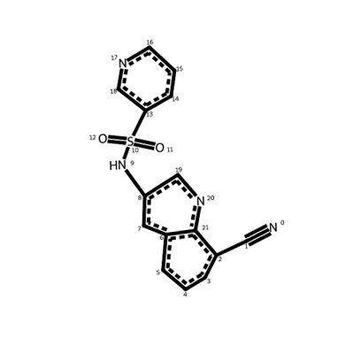 N#Cc1cccc2cc(NS(=O)(=O)c3cccnc3)cnc12